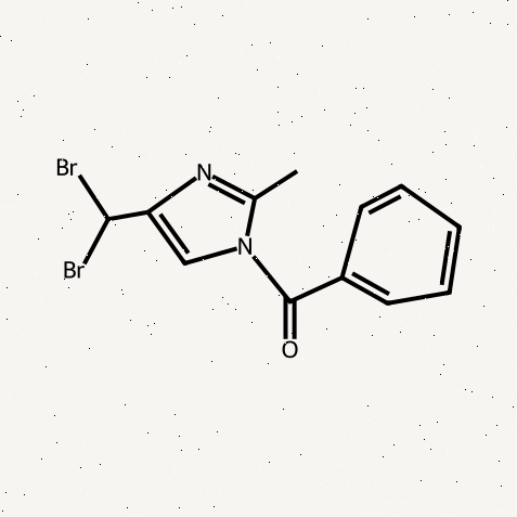 Cc1nc(C(Br)Br)cn1C(=O)c1ccccc1